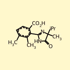 Cc1ccc(C(=O)O)c(C2=NC(C)(C(C)C)C(=O)N2)c1C